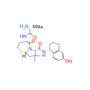 CN[C@@H](N)C(=O)N[C@H]1CCS[C@H]2CC(C)(C)[C@@H](C(=O)N[C@@H]3CCCc4cc(O)ccc43)N2C1=O